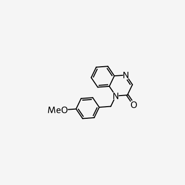 COc1ccc(Cn2c(=O)cnc3ccccc32)cc1